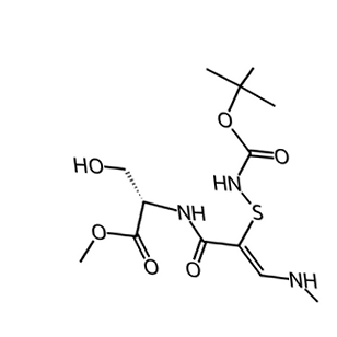 CN/C=C(\SNC(=O)OC(C)(C)C)C(=O)N[C@@H](CO)C(=O)OC